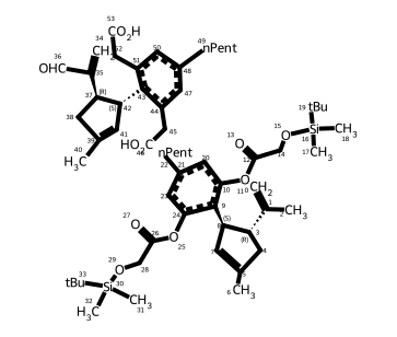 C=C(C)[C@@H]1CC(C)=C[C@H]1c1c(OC(=O)CO[Si](C)(C)C(C)(C)C)cc(CCCCC)cc1OC(=O)CO[Si](C)(C)C(C)(C)C.C=C(C=O)[C@@H]1CC(C)=C[C@H]1c1c(CC(=O)O)cc(CCCCC)cc1CC(=O)O